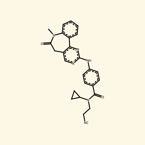 [C-]#[N+]CCN(C(=O)c1ccc(Nc2ncc3c(n2)-c2ccccc2N(C)C(=O)C3)cc1)C1CC1